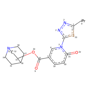 CC(C)c1nnc(-n2cc(C(=O)OC3CN4CCC3CC4)ccc2=O)s1